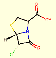 O=C(O)C1CS[C@H]2[C@@H](Cl)C(=O)N12